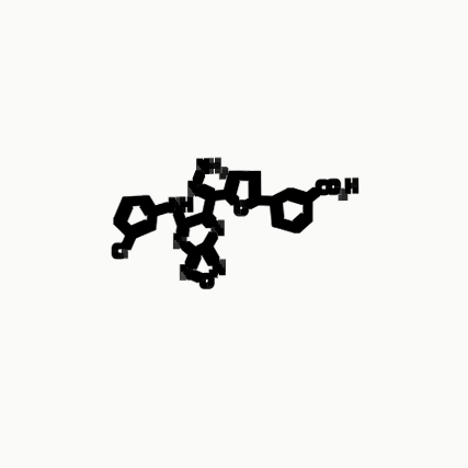 NN=C(c1ccc(-c2cccc(C(=O)O)c2)o1)c1nc2nonc2nc1Nc1cccc(Cl)c1